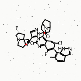 Cc1ccc2cn[nH]c2c1-c1c(Cl)cc2c(N3CC4CCC(C3)N4C(=O)n3cc(C#N)cn3)nc(OC[C@@]34CCCN3C[C@H](F)C4)nc2c1F